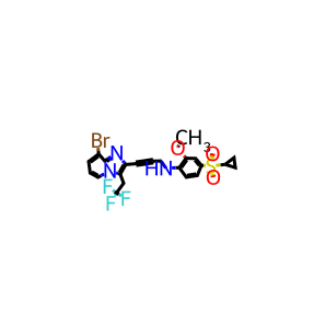 COc1cc(S(=O)(=O)C2CC2)ccc1NCC#Cc1nc2c(Br)cccn2c1CC(F)(F)F